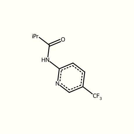 CC(C)C(=O)Nc1ccc(C(F)(F)F)cn1